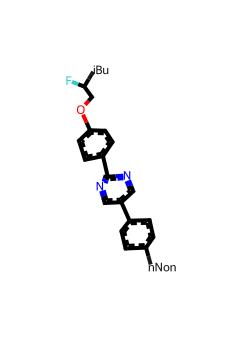 CCCCCCCCCc1ccc(-c2cnc(-c3ccc(OCC(F)C(C)CC)cc3)nc2)cc1